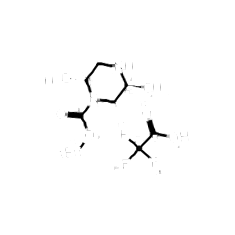 C[C@@H]1CN[C@@H](C)CN1C(=O)OC(C)(C)C.O=C(O)C(F)(F)F